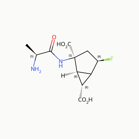 C[C@H](N)C(=O)N[C@@]1(C(=O)O)C[C@@H](F)C2[C@H](C(=O)O)[C@H]21